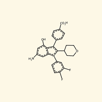 Nc1cc(O)c2c(-c3ccc(C(=O)O)cc3)c(C3CCOCC3)n(-c3ccc(F)c(F)c3)c2c1